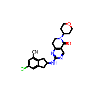 N#Cc1cc(Cl)cc2c1CC(Nc1ncc3c(n1)CCN(C1CCOCC1)C3=O)C2